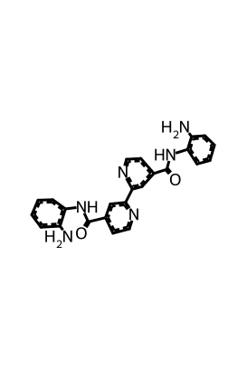 Nc1ccccc1NC(=O)c1ccnc(-c2cc(C(=O)Nc3ccccc3N)ccn2)c1